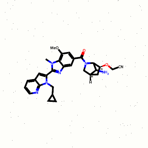 COc1cc(C(=O)N2C[C@H]3C[C@H](OCC#N)C2C3N)cc2nc(-c3cc4cccnc4n3CC3CC3)n(C)c12